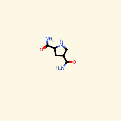 NC(=O)C1CNC(C(N)=O)C1